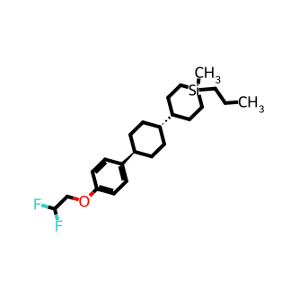 CCC[Si]1(C)CCC([C@H]2CC[C@H](c3ccc(OCC(F)F)cc3)CC2)CC1